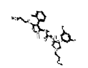 COCCN1C[C@@H](NC(=O)Nc2[nH]nc(OCCO)c2-c2ccccc2C)[C@H](c2cc(F)cc(F)c2)C1